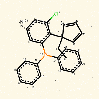 CCC1(c2c(Cl)cccc2P(c2ccccc2)c2ccccc2)C=CC=C1.[Ni+2]